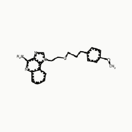 COc1ccc(CCCOCCn2cnc3c(N)nc4ccccc4c32)cc1